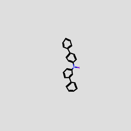 IN(c1ccc(-c2ccccc2)cc1)c1cccc(-c2ccccc2)c1